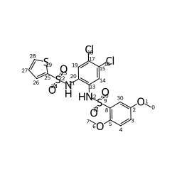 COc1ccc(OC)c(S(=O)(=O)Nc2cc(Cl)c(Cl)cc2NS(=O)(=O)c2cccs2)c1